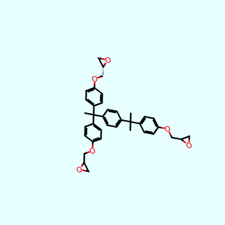 CC(C)(c1ccc(OCC2CO2)cc1)c1ccc(C(C)(c2ccc(OCC3CO3)cc2)c2ccc(OC[C@@H]3CO3)cc2)cc1